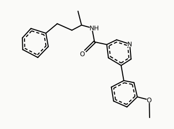 COc1cccc(-c2cncc(C(=O)NC(C)CCc3ccccc3)c2)c1